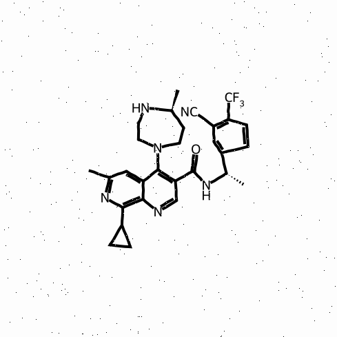 Cc1cc2c(N3CCN[C@@H](C)CC3)c(C(=O)N[C@@H](C)c3ccc(C(F)(F)F)c(C#N)c3)cnc2c(C2CC2)n1